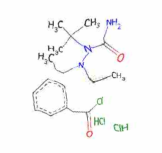 CCN(CC)N(C(N)=O)C(C)(C)C.Cl.Cl.O=C(Cl)c1ccccc1